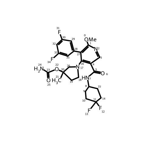 COc1ncc(C(=O)NC2CCC(F)(F)CC2)c(N2CCC(C)(OC(N)=O)C2)c1-c1cc(F)cc(F)c1